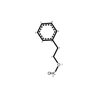 O=COC[CH]c1ccccc1